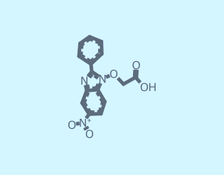 O=C(O)COn1c(-c2ccccc2)nc2cc([N+](=O)[O-])ccc21